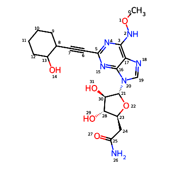 CONc1nc(C#CC2CCCCC2O)nc2c1ncn2[C@@H]1O[C@@H](CC(N)=O)[C@H](O)[C@H]1O